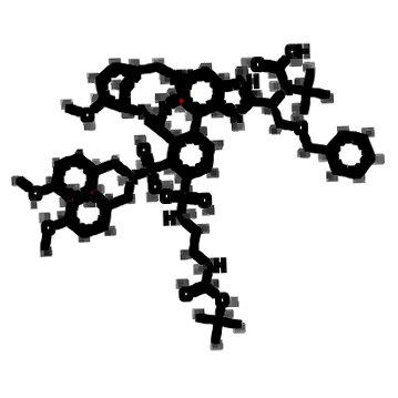 COc1ccc(CN(Cc2ccc(OC)cc2)S(=O)(=O)c2c(S(=O)(=O)NCCNC(=O)OC(C)(C)C)ccc(-c3cccc4[nH]c([C@H](COCc5ccccc5)N(C(=O)O)C(C)(C)C)nc34)c2C2=N\c3cc(ccc3OC)CN\N=N\2)cc1